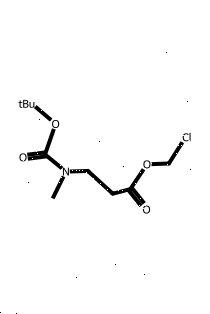 CN(CCC(=O)OCCl)C(=O)OC(C)(C)C